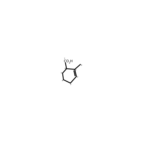 CC1=CCCCC1C(=O)O